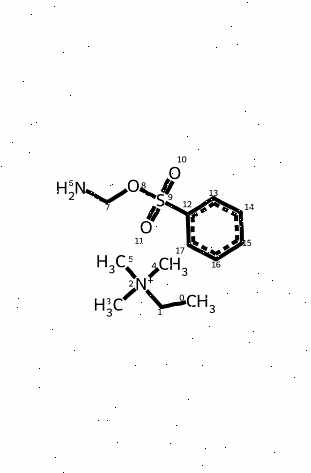 CC[N+](C)(C)C.NCOS(=O)(=O)c1ccccc1